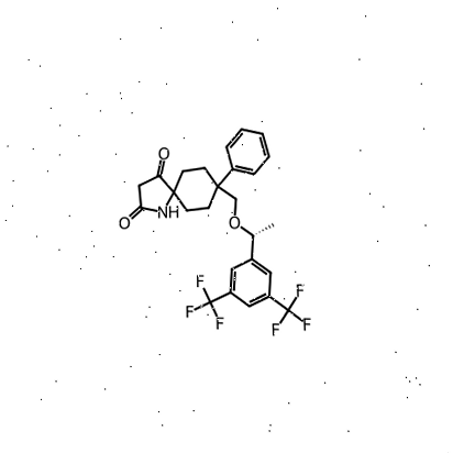 C[C@@H](OCC1(c2ccccc2)CCC2(CC1)NC(=O)CC2=O)c1cc(C(F)(F)F)cc(C(F)(F)F)c1